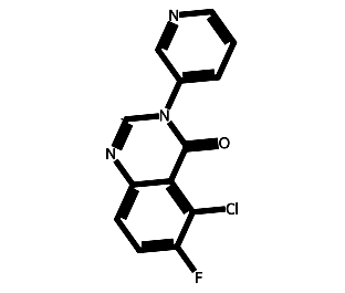 O=c1c2c(Cl)c(F)ccc2n[c]n1-c1cccnc1